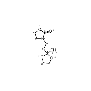 CC1(CCN2CCOC2=O)OCCO1